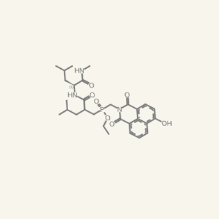 CCOP(=O)(CC(CC(C)C)C(=O)N[C@@H](CC(C)C)C(=O)NC)CN1C(=O)c2cccc3c(O)ccc(c23)C1=O